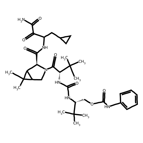 CC1(C)C2CN(C(=O)[C@@H](NC(=O)N[C@H](COC(=O)Nc3ccccc3)C(C)(C)C)C(C)(C)C)[C@H](C(=O)NC(CC3CC3)C(=O)C(N)=O)C21